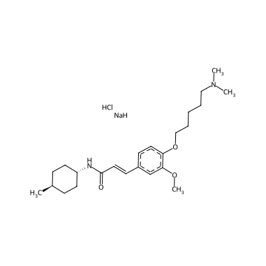 COc1cc(C=CC(=O)N[C@H]2CC[C@H](C)CC2)ccc1OCCCCCN(C)C.Cl.[NaH]